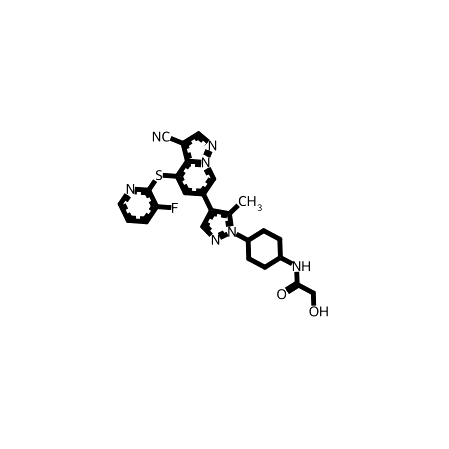 Cc1c(-c2cc(Sc3ncccc3F)c3c(C#N)cnn3c2)cnn1C1CCC(NC(=O)CO)CC1